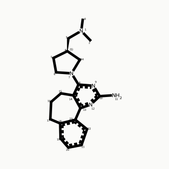 CN(C)C[C@@H]1CCN(c2nc(N)nc3c2CCCc2ccccc2-3)C1